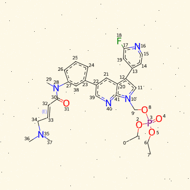 CCOP(=O)(OCC)OCn1cc(-c2ccnc(F)c2)c2cc(-c3cccc(N(C)C(=O)/C=C/CN(C)C)c3)cnc21